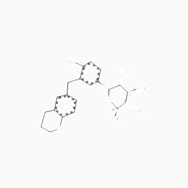 CC[C@H]1O[C@@H](c2ccc(Br)c(Cc3ccc4c(c3)CCCO4)c2)[C@H](OC(C)=O)[C@@H](C)[C@@H]1C